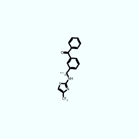 C[C@@H](Nc1nc(C(F)(F)F)cs1)c1cccc(C(=O)c2ccccc2)c1